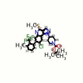 CSc1nc2c(F)c(-c3cccc(C)c3C(F)(F)F)c(Cl)cc2c2c1cnn2C1CCN(C(=O)OC(C)(C)C)CC1